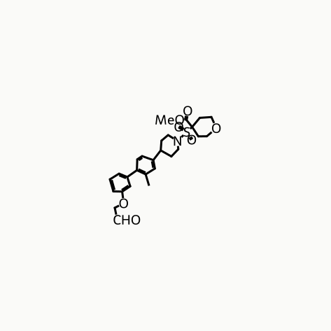 COC(=O)C1(S(=O)(=O)N2CCC(c3ccc(-c4cccc(OCC=O)c4)c(C)c3)CC2)CCOCC1